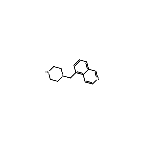 c1cc(CN2CCNCC2)c2ccncc2c1